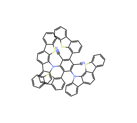 N#Cc1c(-c2cccc3c2sc2ccccc23)c(C#N)c(-n2c3ccccc3c3ccc4c5ccccc5sc4c32)c(-c2cccc3c2sc2ccccc23)c1-n1c2ccccc2c2ccc3c4ccccc4sc3c21